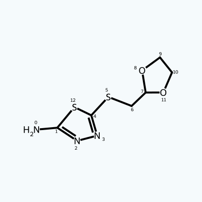 Nc1nnc(SCC2OCCO2)s1